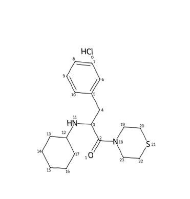 Cl.O=C(C(Cc1ccccc1)NC1CCCCC1)N1CCSCC1